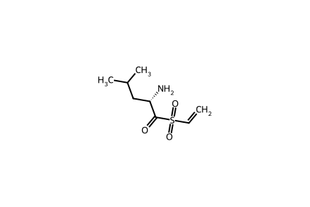 C=CS(=O)(=O)C(=O)[C@@H](N)CC(C)C